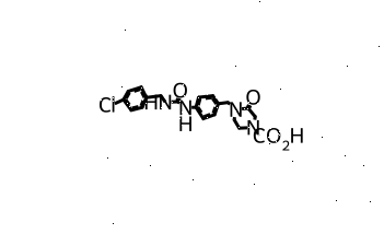 O=C(NCc1ccc(Cl)cc1)Nc1ccc(CN2CCN(C(=O)O)CC2=O)cc1